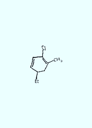 CC[C@H]1C=CC(Cl)=C(C)C1